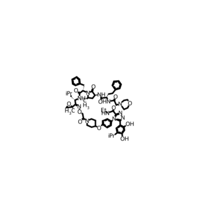 CCNC(=O)c1nnc(-c2cc(C(C)C)c(O)cc2O)n1-c1ccc(OC2CCN(C(=O)CO/N=C(/[C@H](CC(C)C)NC(=O)[C@H](Cc3ccccc3)N3C(=O)[C@@H](NC(=O)[C@H](CCc4ccccc4)NC(=O)CN4CCOCC4)CC3C)[C@@]3(C)CO3)CC2)cc1